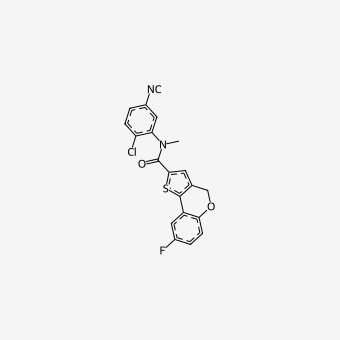 [C-]#[N+]c1ccc(Cl)c(N(C)C(=O)c2cc3c(s2)-c2cc(F)ccc2OC3)c1